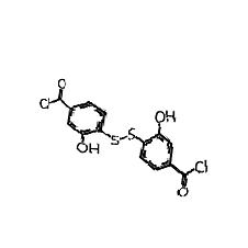 O=C(Cl)c1ccc(SSc2ccc(C(=O)Cl)cc2O)c(O)c1